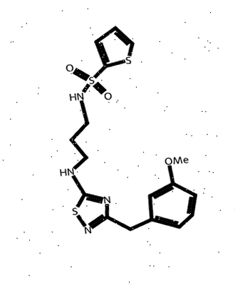 COc1cccc(Cc2nsc(NCCCNS(=O)(=O)c3cccs3)n2)c1